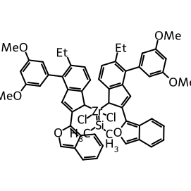 CCc1ccc2c(c1-c1cc(OC)cc(OC)c1)C=C(c1occ3ccccc13)[CH]2[Zr]([Cl])([Cl])([CH]1C(c2occ3ccccc23)=Cc2c1ccc(CC)c2-c1cc(OC)cc(OC)c1)=[Si](C)C